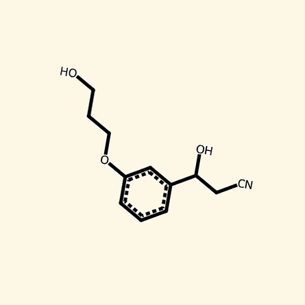 N#CCC(O)c1cccc(OCCCO)c1